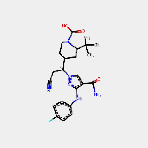 CC(C)(C)C1CC([C@H](CC#N)n2cc(C(N)=O)c(Nc3ccc(F)cc3)n2)CCN1C(=O)O